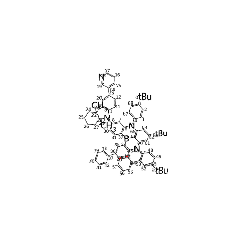 CC(C)(C)c1ccc(N2c3cc(N4c5ccc(-c6cccnc6)cc5C5(C)CCCCC45C)ccc3B3c4cc(-c5ccccc5)ccc4N(c4ccc(C(C)(C)C)cc4-c4ccccc4)c4cc(C(C)(C)C)cc2c43)cc1